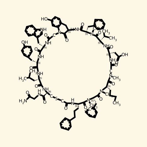 CCCC[C@H]1C(=O)N(C)CC(=O)N[C@@H](CC(=O)O)C(=O)N[C@@H](C(C)C)C(=O)N(C)[C@@H](Cc2ccccc2)C(=O)N[C@H]2Cc3ccc(O)cc3N(CC(=O)N[C@@H](Cc3c[nH]c4ccccc34)C(=O)N[C@@H](Cc3ccc(O)cc3)C(=O)N[C@@H](CC(C)C)C(=O)N[C@H](C(=O)NCC(N)=O)CSCC(=O)N[C@@H](CCCc3ccccc3)C(=O)N(C)[C@@H](Cc3ccccc3)C(=O)N1C)C2=O